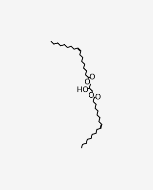 CCCCCCCC/C=C\CCCCCCCC(=O)OCC(O)COC(=O)CCCCCCC/C=C\CCCCCCCC